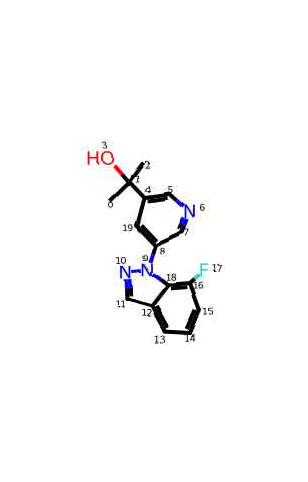 CC(C)(O)c1cncc(-n2ncc3cccc(F)c32)c1